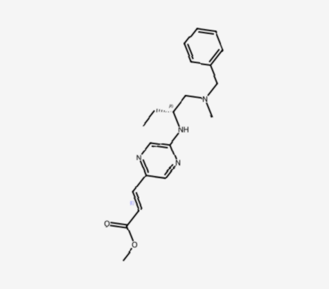 CC[C@H](CN(C)Cc1ccccc1)Nc1cnc(/C=C/C(=O)OC)cn1